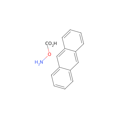 NOC(=O)O.c1ccc2cc3ccccc3cc2c1